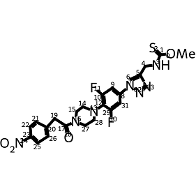 COC(=S)NCc1cn(-c2cc(F)c(N3CCN(C(=O)Cc4ccc([N+](=O)[O-])cc4)CC3)c(F)c2)nn1